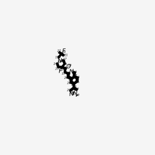 Cn1cc(-c2ccc3cnc(CC(=O)C4(F)CCN(CC(C)(C)F)CC4)cc3c2)cn1